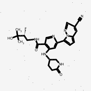 CC(C)(O)[C@H](F)CNC(=O)c1cnc(-c2ccc3cc(C#N)cnn23)cc1NC1CCC(=O)NC1